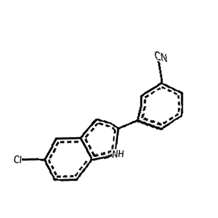 N#Cc1cccc(-c2cc3cc(Cl)ccc3[nH]2)c1